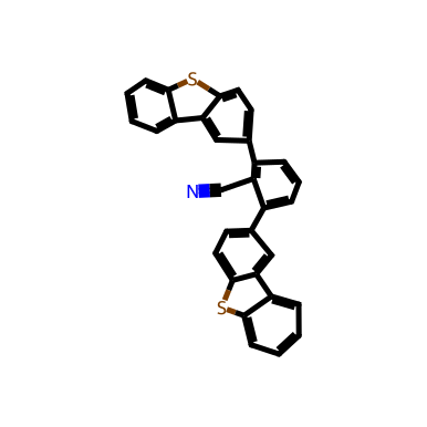 N#Cc1c(-c2ccc3sc4ccccc4c3c2)cccc1-c1ccc2sc3ccccc3c2c1